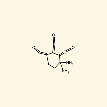 NC1(N)CCC(=C=O)C(=C=O)C1=C=O